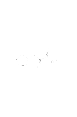 [CH2]CCCC(=O)C(=O)CC1CCCC1